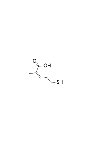 CC(=CCCS)C(=O)O